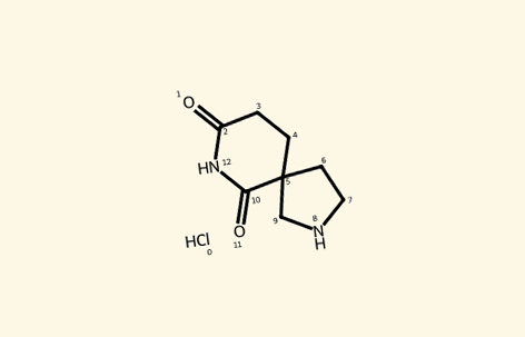 Cl.O=C1CCC2(CCNC2)C(=O)N1